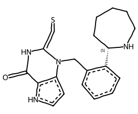 O=C1NC(=C=S)N(Cc2ccccc2[C@@H]2CCCCCN2)c2cc[nH]c21